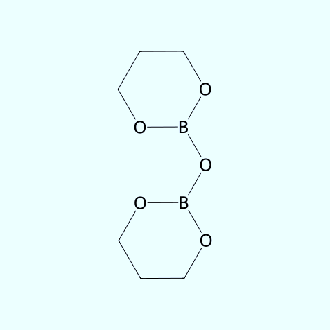 C1COB(OB2OCCCO2)OC1